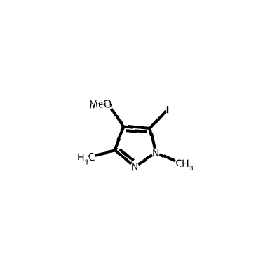 COc1c(C)nn(C)c1I